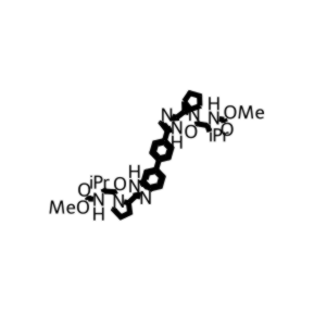 COC(=O)NC(C(=O)N1CCCC1c1nc2ccc(-c3ccc(-c4cnc(C5C6CCC(C6)N5C(=O)C(NC(=O)OC)C(C)C)[nH]4)cc3)cc2[nH]1)C(C)C